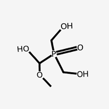 COC(O)P(=O)(CO)CO